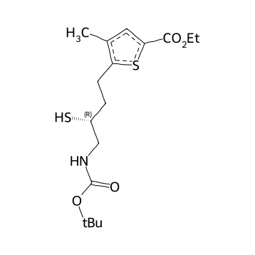 CCOC(=O)c1cc(C)c(CC[C@@H](S)CNC(=O)OC(C)(C)C)s1